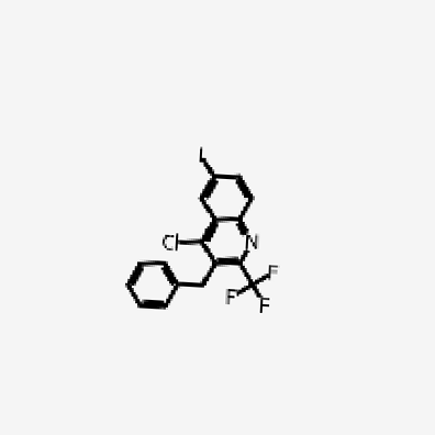 FC(F)(F)c1nc2ccc(I)cc2c(Cl)c1Cc1ccccc1